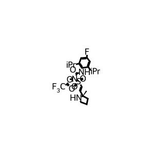 CC(C)c1cc(F)cc(C(C)C)c1NC(=O)N(OC(=O)C(F)(F)F)S(=O)(=O)/C=C/[C@]1(C)CCCN1